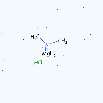 CNC.Cl.[MgH2]